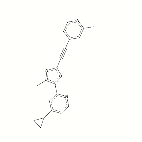 Cc1cc(C#Cc2cn(-c3cc(C4CC4)ccn3)c(C)n2)ccn1